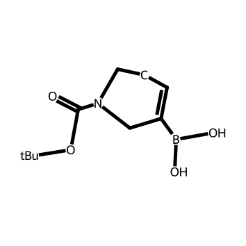 CC(C)(C)OC(=O)N1CCC=C(B(O)O)C1